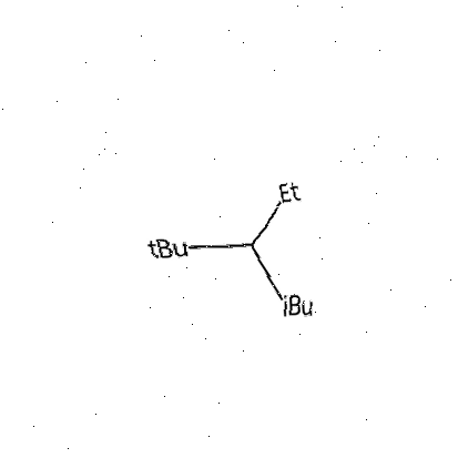 CCC(C)C(CC)C(C)(C)C